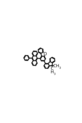 CC1(C)c2ccccc2-c2c(-c3cc(-c4c5ccccc5c(-c5ccccc5)c5ccccc45)c4c(c3)oc3ccccc34)cccc21